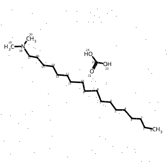 CCCCCCCCCCCCCCCCCCN(C)C.O=C(O)O